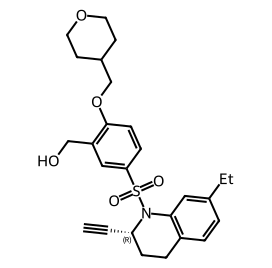 C#C[C@H]1CCc2ccc(CC)cc2N1S(=O)(=O)c1ccc(OCC2CCOCC2)c(CO)c1